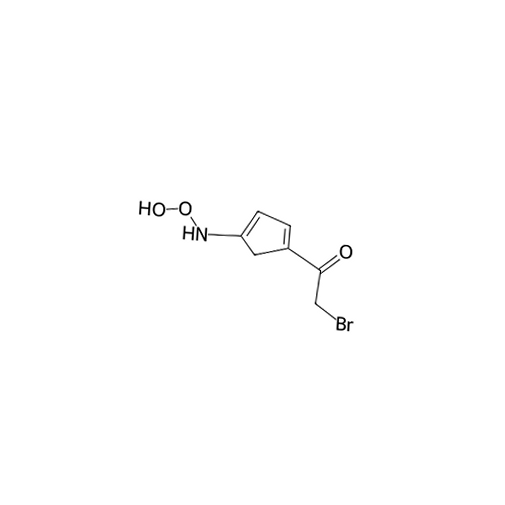 O=C(CBr)C1=CC=C(NOO)C1